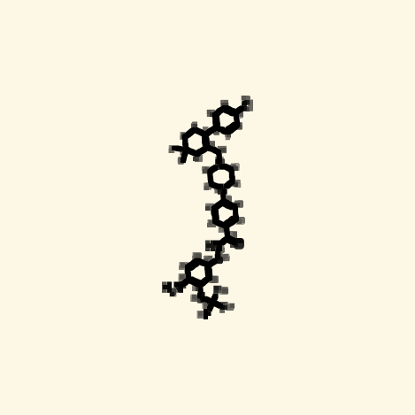 CC1(C)CCC(c2ccc(Cl)cc2)=C(CN2CCN(c3ccc(C(=O)NSc4ccc(N)c(SC(F)(F)F)c4)cc3)CC2)C1